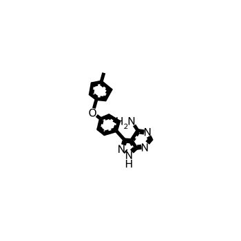 Cc1ccc(Oc2ccc(-c3n[nH]c4ncnc(N)c34)cc2)cc1